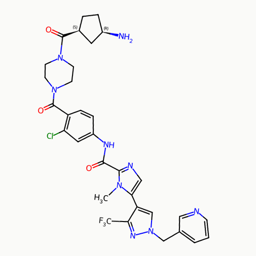 Cn1c(-c2cn(Cc3cccnc3)nc2C(F)(F)F)cnc1C(=O)Nc1ccc(C(=O)N2CCN(C(=O)[C@H]3CC[C@@H](N)C3)CC2)c(Cl)c1